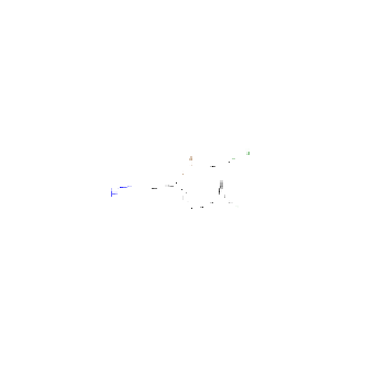 N#Cc1cc(F)c(Br)s1